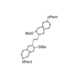 CCCCCc1ccc2cc(/C=C/c3cc4ccc(CCCCC)cc4cc3SC)c(SC)cc2c1